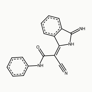 N#CC(C(=O)Nc1ccccc1)=C1NC(=N)c2ccccc21